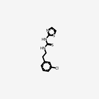 S=C(NCCc1cccc(Cl)c1)Nc1nccs1